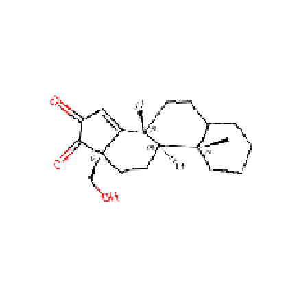 C[C@]12CCCCC1CC[C@H]1C3=CC(=O)C(=O)[C@@]3(CO)CC[C@@H]12